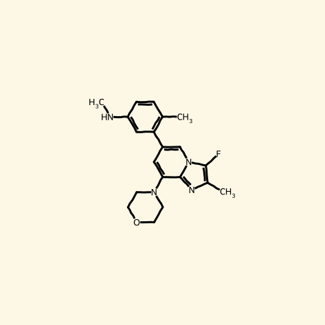 CNc1ccc(C)c(-c2cc(N3CCOCC3)c3nc(C)c(F)n3c2)c1